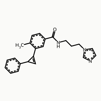 Cc1ccc(C(=O)NCCCn2ccnc2)cc1C1=CC1c1ccccc1